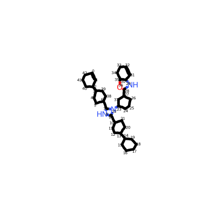 C1=CC(C2CCC(C3NC(C4CCC(C5CCCCC5)CC4)N3C3CCCC(C4NC5C=CCCC5O4)C3)CC2)CCC1